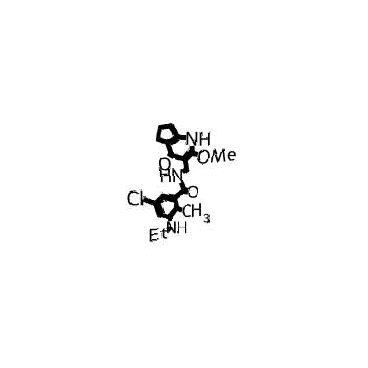 CCNc1cc(Cl)cc(C(=O)NCc2c(OC)[nH]c3c(c2=O)CCC3)c1C